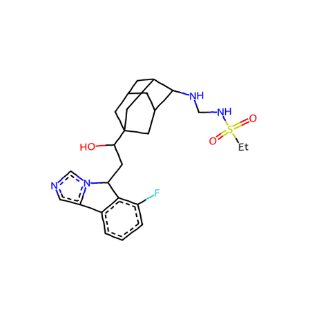 CCS(=O)(=O)NCNC1C2CC3CC1CC(C(O)CC1c4c(F)cccc4-c4cncn41)(C3)C2